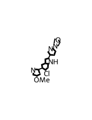 COc1cncc(-c2cc3cc(-c4ccc(N5CCOCC5)nc4)[nH]c3cc2Cl)c1